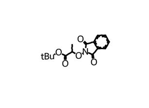 CC(ON1C(=O)c2ccccc2C1=O)C(=O)OC(C)(C)C